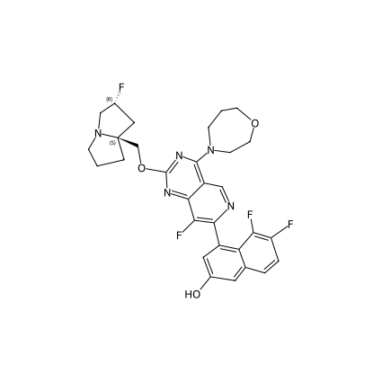 Oc1cc(-c2ncc3c(N4CCCOCC4)nc(OC[C@@]45CCCN4C[C@H](F)C5)nc3c2F)c2c(F)c(F)ccc2c1